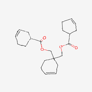 O=C(OCC1(COC(=O)C2CC=CCC2)CC=CCC1)C1CC=CCC1